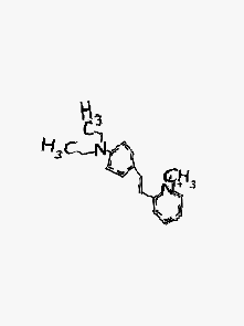 CCN(CC)c1ccc(C=Cc2cccc[n+]2C)cc1